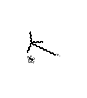 CCCCCCC(CCCCCC)(CCCCCC)CCCCCCCCCCCCCP.N.O=C(O)C(F)(F)F